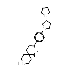 C[C@H]1CCCN1[C@H]1CCN(c2ccc(C3CCC4(CCNCC4)C(=O)N3)cc2)C1.Cl